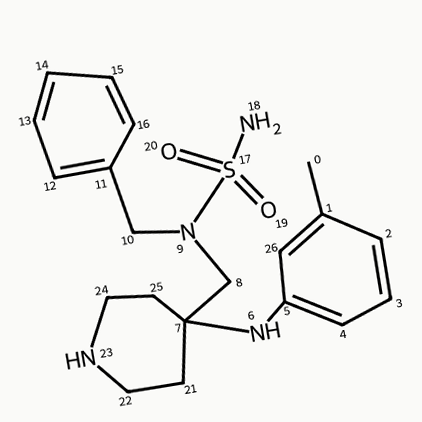 Cc1cccc(NC2(CN(Cc3ccccc3)S(N)(=O)=O)CCNCC2)c1